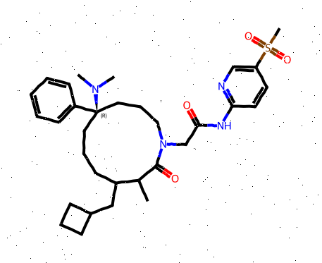 CC1C(=O)N(CC(=O)Nc2ccc(S(C)(=O)=O)cn2)CCC[C@](c2ccccc2)(N(C)C)CCCC1CC1CCC1